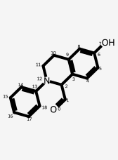 O=CC1c2ccc(O)cc2CCN1c1ccccc1